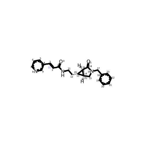 O=C(/C=C/c1cccnc1)NCC[C@H]1[C@@H]2CN(Cc3ccccc3)C(=O)[C@H]12